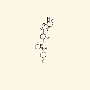 O=C1CC[C@@H](N2Cc3c(ccc(C[C@H]4OCCC[C@@H]4N[C@H]4CC[C@@H](F)CC4)c3F)C2=O)C(=O)N1